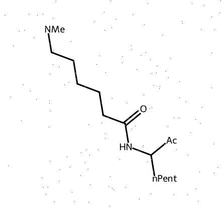 CCCCCC(NC(=O)CCCCCNC)C(C)=O